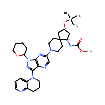 CC(C)(C)OC(=O)N[C@@H]1C[C@H](O[Si](C)(C)C(C)(C)C)CC12CCN(c1cnc3c(N4CCCc5ncccc54)nn(C4CCCCO4)c3n1)CC2